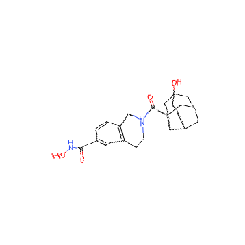 O=C(NO)c1ccc2c(c1)CCN(C(=O)C13CC4CC(CC(O)(C4)C1)C3)C2